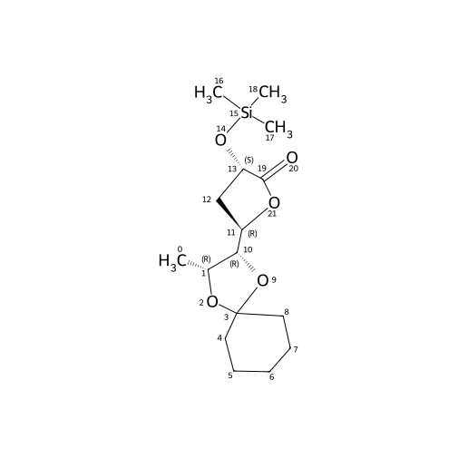 C[C@H]1OC2(CCCCC2)O[C@H]1[C@H]1C[C@H](O[Si](C)(C)C)C(=O)O1